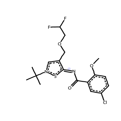 COc1ccc(Cl)cc1C(=O)/N=c1\sn(C(C)(C)C)cc1COCC(F)F